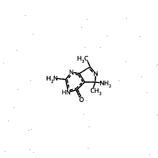 CC1=NC(C)(N)c2c1nc(N)[nH]c2=O